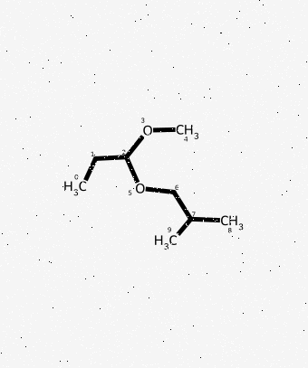 CCC(OC)OCC(C)C